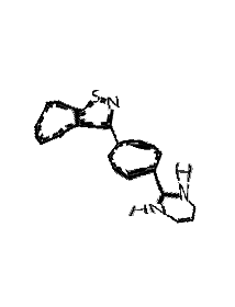 C1=CNC(c2ccc(-c3nsc4ccccc34)cc2)NC1